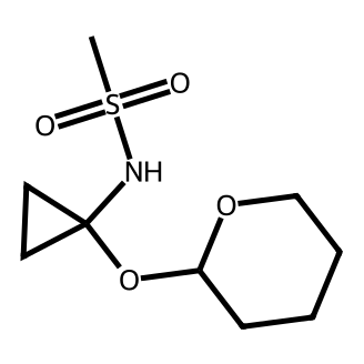 CS(=O)(=O)NC1(OC2CCCCO2)CC1